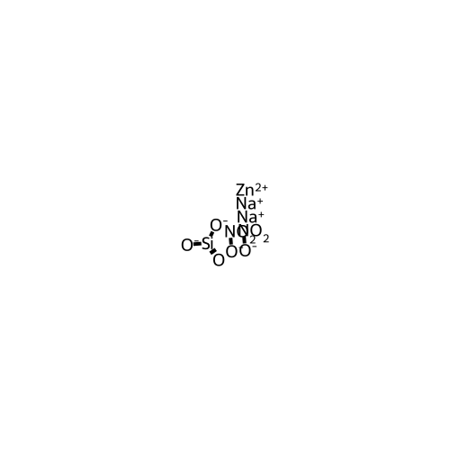 O=[N+]([O-])[O-].O=[N+]([O-])[O-].O=[Si]([O-])[O-].[Na+].[Na+].[Zn+2]